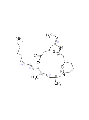 C/C=C1\CC2CC(=O)OC(/C=C/C=C\CCCCN)[C@@H](C)/C=C/[C@H](C)C[C@H]3CCCC(C[C@@H](C1)O2)O3